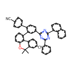 CC1(C)Oc2cccc(-c3cc(-c4nc(-c5ccccc5)nc(-c5cccc6ccccc56)n4)ccc3-c3ccc(C#N)cc3)c2-c2ccc(C#N)cc21